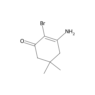 CC1(C)CC(=O)C(Br)=C(N)C1